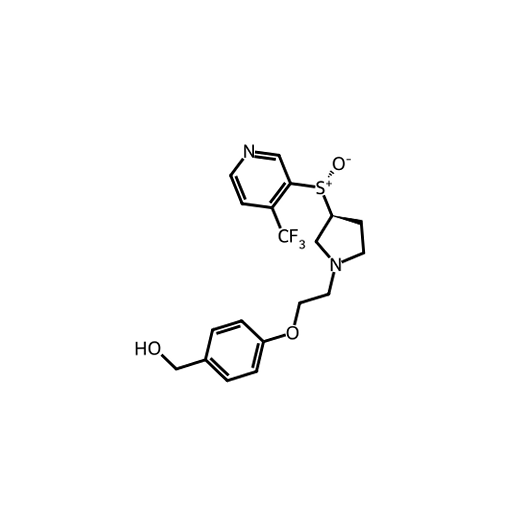 [O-][S@@+](c1cnccc1C(F)(F)F)[C@H]1CCN(CCOc2ccc(CO)cc2)C1